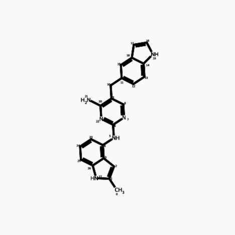 Cc1cc2c(Nc3ncc(Cc4ccc5[nH]ccc5c4)c(N)n3)cccc2[nH]1